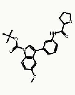 COc1ccc2c(c1)c(-c1cccc(NC(=O)C3CCCO3)c1)cn2C(=O)OC(C)(C)C